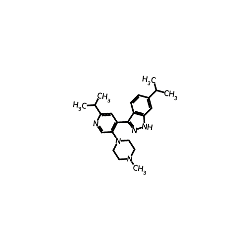 CC(C)c1ccc2c(-c3cc(C(C)C)ncc3N3CCN(C)CC3)n[nH]c2c1